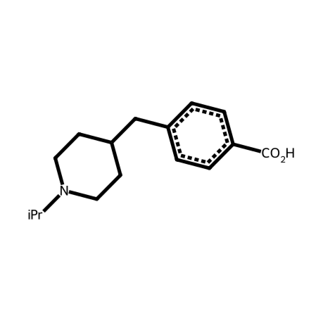 CC(C)N1CCC(Cc2ccc(C(=O)O)cc2)CC1